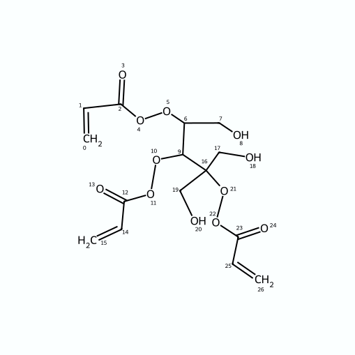 C=CC(=O)OOC(CO)C(OOC(=O)C=C)C(CO)(CO)OOC(=O)C=C